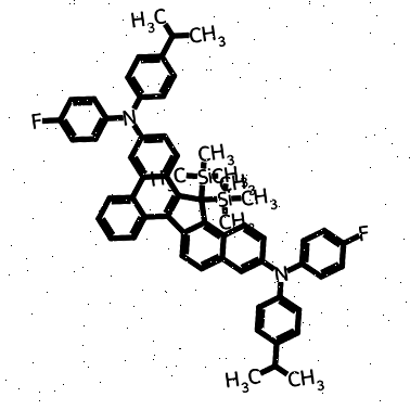 CC(C)c1ccc(N(c2ccc(F)cc2)c2ccc3c4c(ccc3c2)-c2c(c3ccc(N(c5ccc(F)cc5)c5ccc(C(C)C)cc5)cc3c3ccccc23)C4([Si](C)(C)C)[Si](C)(C)C)cc1